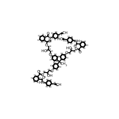 C#Cc1ccc(NC(=O)c2ccccc2C(=O)OCC(O)COc2ccc(C(C)(c3ccc(OCC(O)COC(=O)c4ccccc4C(=O)Nc4ccc(C#C)cc4)cc3)c3ccc(OCC(O)COC(=O)c4ccccc4C(=O)Nc4ccc(C#C)cc4)cc3)cc2)cc1